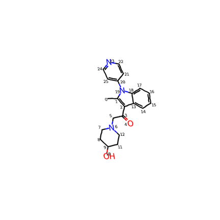 Cc1c(C(=O)CN2CCC(O)CC2)c2ccccc2n1-c1ccncc1